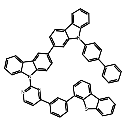 c1ccc(-c2ccc(-n3c4ccccc4c4ccc(-c5ccc6c(c5)c5ccccc5n6-c5nccc(-c6cccc(-c7cccc8c7sc7ccccc78)c6)n5)cc43)cc2)cc1